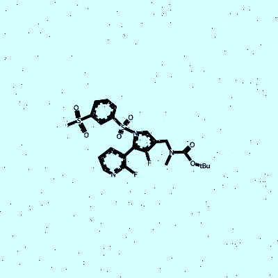 CN(Cc1cn(S(=O)(=O)c2cccc(S(C)(=O)=O)c2)c(-c2cccnc2F)c1F)C(=O)OC(C)(C)C